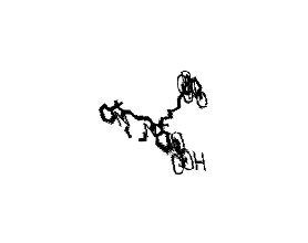 CCCN1/C(=C\C=C\C2=[N+](CCC)c3ccc(S(=O)(=O)O)cc3C2(C)CCCCCC(=O)ON2C(=O)CCC2=O)C(C)(C)c2ccccc21